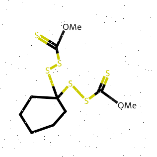 COC(=S)SSC1(SSC(=S)OC)CCCCC1